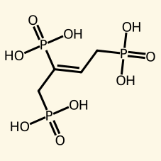 O=P(O)(O)CC=C(CP(=O)(O)O)P(=O)(O)O